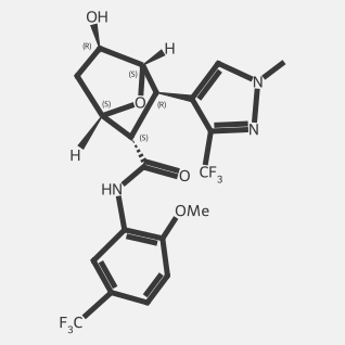 COc1ccc(C(F)(F)F)cc1NC(=O)[C@H]1[C@H](c2cn(C)nc2C(F)(F)F)[C@@H]2O[C@H]1C[C@H]2O